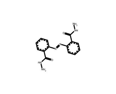 NNC(=O)c1ccccc1N=Nc1ccccc1C(=O)NN